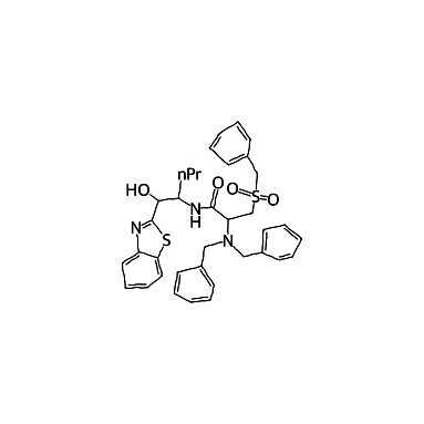 CCCC(NC(=O)C(CS(=O)(=O)Cc1ccccc1)N(Cc1ccccc1)Cc1ccccc1)C(O)c1nc2ccccc2s1